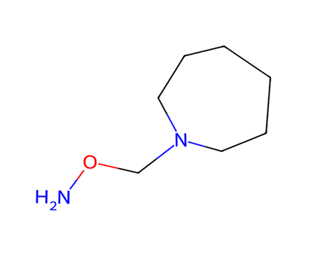 NOCN1CCCCCC1